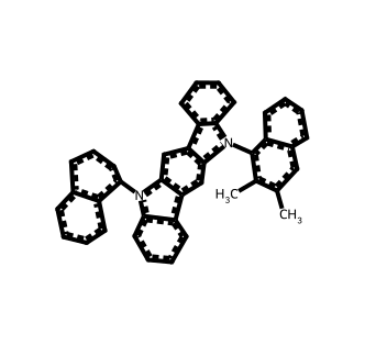 Cc1cc2ccccc2c(-n2c3ccccc3c3cc4c(cc32)c2ccccc2n4-c2cccc3ccccc23)c1C